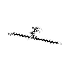 CCCCCCCCCCCCCCCCC(=O)O[C@H](COC(=O)CCCCCCCCCCCC)COP(=O)([O-])OCC[N+](C)(C)C